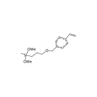 C=Cc1ccc(COCCC[Si](C)(OC)OC)cc1